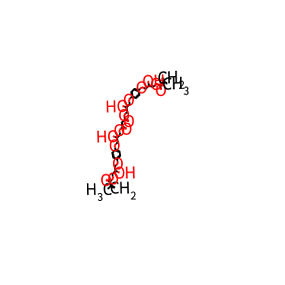 C=C(C)C(=O)OCC(O)COc1ccc(OCC(O)COC(=O)CC(=O)OCC(O)COc2ccc(OCC(O)COC(=O)C(=C)C)cc2)cc1